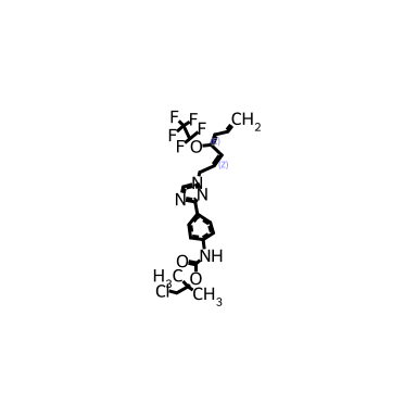 C=C/C=C(\C=C/Cn1cnc(-c2ccc(NC(=O)OC(C)(C)CCl)cc2)n1)OC(F)(F)C(F)(F)F